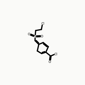 O=C(Cl)C1=CCC(=CS(=O)(=O)CCCl)C=C1